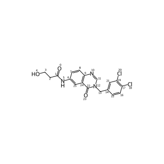 O=C(CCO)Nc1ccc2ncn(Cc3ccc(Cl)c(Cl)c3)c(=O)c2c1